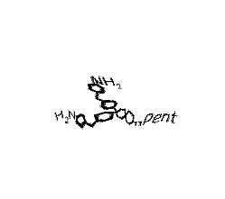 CCCCCC1CCC2(CC1)CCC(c1ccc(Cc3ccc(N)cc3)cc1)(c1ccc(Cc3ccc(N)cc3)cc1)CC2